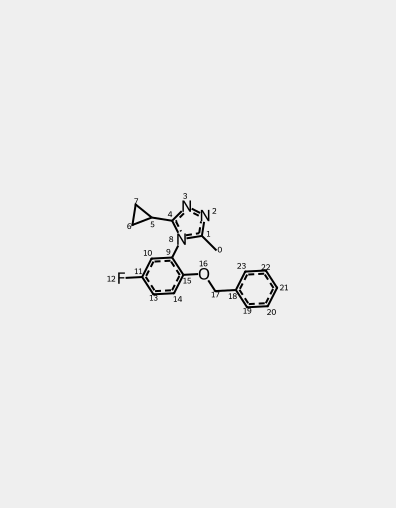 Cc1nnc(C2CC2)n1-c1cc(F)ccc1OCc1ccccc1